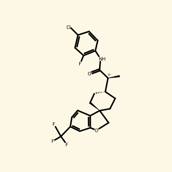 C[C@H](C(=O)Nc1ccc(Cl)cc1F)[C@H]1CC[C@@]2(CC1)COc1cc(C(F)(F)F)ccc12